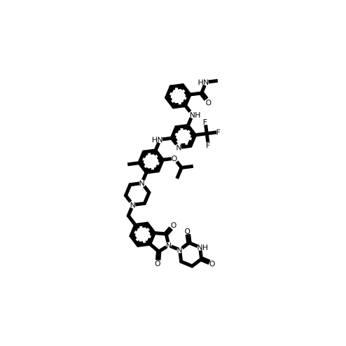 CNC(=O)c1ccccc1Nc1cc(Nc2cc(C)c(N3CCN(Cc4ccc5c(c4)C(=O)N(N4CCC(=O)NC4=O)C5=O)CC3)cc2OC(C)C)ncc1C(F)(F)F